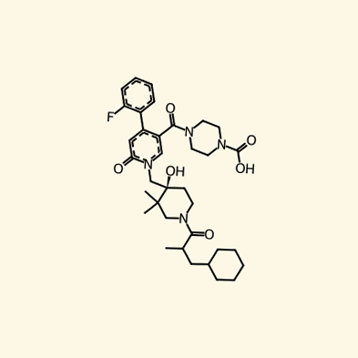 CC(CC1CCCCC1)C(=O)N1CC[C@@](O)(Cn2cc(C(=O)N3CCN(C(=O)O)CC3)c(-c3ccccc3F)cc2=O)C(C)(C)C1